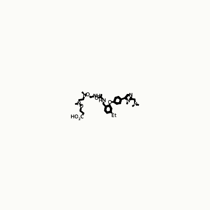 CCc1ccc(CNC(C)ONCON(C)CCN(C)OCCC(=O)O)c(Oc2ccc(-c3cnc(CN(C)C)n3C)cc2)c1